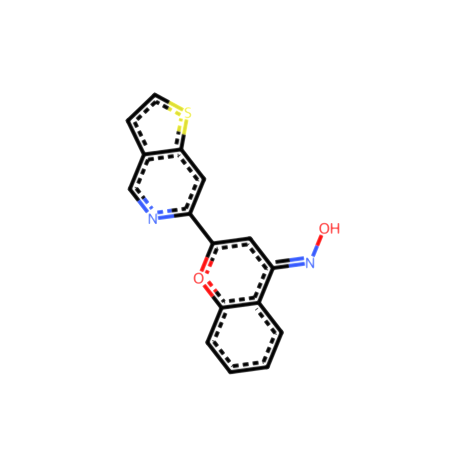 O/N=c1\cc(-c2cc3sccc3cn2)oc2ccccc12